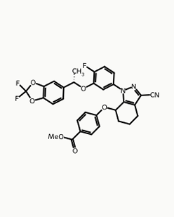 COC(=O)c1ccc(OC2CCCc3c(C#N)nn(-c4ccc(F)c(O[C@@H](C)c5ccc6c(c5)OC(F)(F)O6)c4)c32)cc1